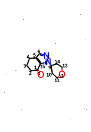 O=C1CCCc2cnn(C3CCOCC3)c21